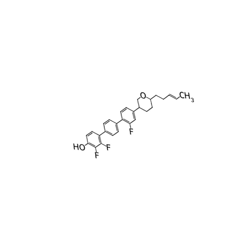 C/C=C/CCC1CCC(c2ccc(-c3ccc(-c4ccc(O)c(F)c4F)cc3)c(F)c2)CO1